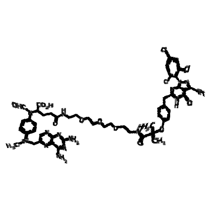 CC(C)c1nn(-c2c(Cl)cc(Cl)cc2Cl)c2nc(Cc3ccc(OC(C)(C)C(=O)NCCOCCOCCOCCNC(=O)CC[C@H](C(=O)O)N(C=O)c4ccc(N(C)Cc5cnc6nc(N)nc(N)c6n5)cc4)cc3)[nH]c(=O)c12